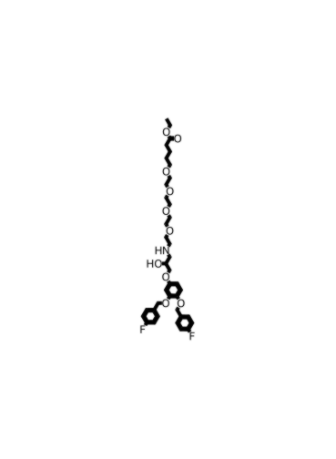 CCOC(=O)CCCCOCCOCCOCCOCCNCC(O)COc1ccc(OCc2ccc(F)cc2)c(OCc2ccc(F)cc2)c1